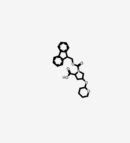 O=C(O)C1CC(OC2CCCCO2)CN1C(=O)OCC1c2ccccc2-c2ccccc21